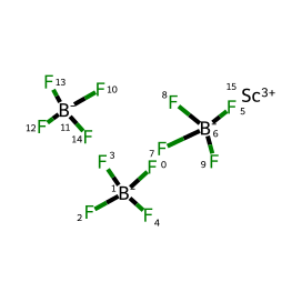 F[B-](F)(F)F.F[B-](F)(F)F.F[B-](F)(F)F.[Sc+3]